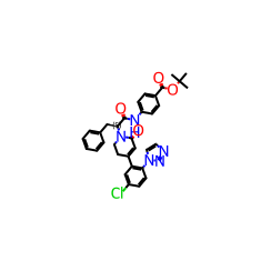 CC(C)(C)OC(=O)c1ccc(NC(=O)[C@H](Cc2ccccc2)N2CCC(c3cc(Cl)ccc3-n3ccnn3)=CC2=O)cc1